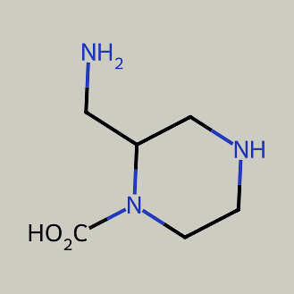 NCC1CNCCN1C(=O)O